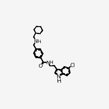 O=C(NCCc1c[nH]c2ccc(Cl)cc12)c1ccc(CNCC2CCCCC2)cc1